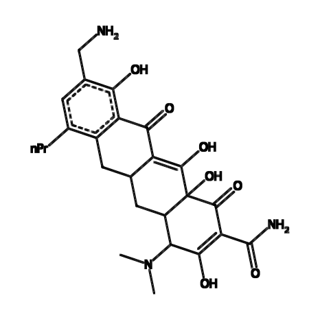 CCCc1cc(CN)c(O)c2c1CC1CC3C(N(C)C)C(O)=C(C(N)=O)C(=O)C3(O)C(O)=C1C2=O